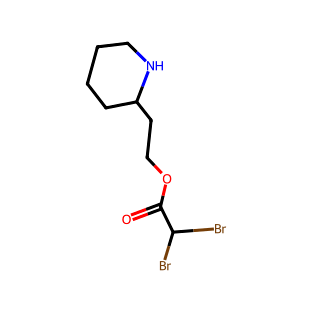 O=C(OCCC1CCCCN1)C(Br)Br